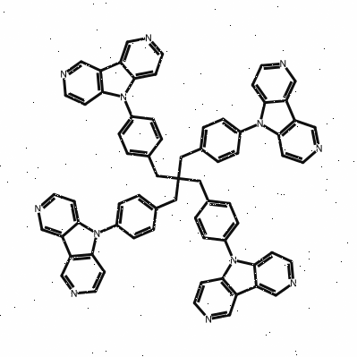 c1cc2c(cn1)c1cnccc1n2-c1ccc(CC(Cc2ccc(-n3c4ccncc4c4cnccc43)cc2)(Cc2ccc(-n3c4ccncc4c4cnccc43)cc2)Cc2ccc(-n3c4ccncc4c4cnccc43)cc2)cc1